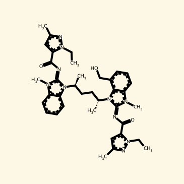 CCn1nc(C)cc1C(=O)N=c1n(C)c2cccc(CO)c2n1[C@H](C)CC[C@H](C)n1/c(=N/C(=O)c2cc(C)nn2CC)n(C)c2ccccc21